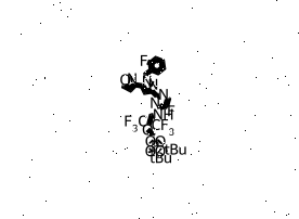 CC(C)(C)OP(=O)(OCOC(CNc1nc(-c2cc(-c3ccon3)n(Cc3ccccc3F)n2)ncc1F)(C(F)(F)F)C(F)(F)F)OC(C)(C)C